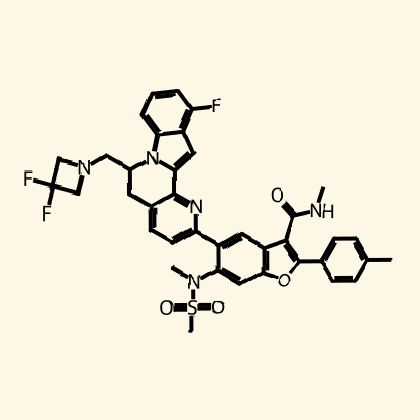 CNC(=O)c1c(-c2ccc(C)cc2)oc2cc(N(C)S(C)(=O)=O)c(-c3ccc4c(n3)-c3cc5c(F)cccc5n3C(CN3CC(F)(F)C3)C4)cc12